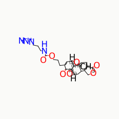 C[C@]12CCC3=C(COC3=O)C1C[C@@H]1O[C@@]13C(=O)C(CCCOC(=O)NCCCN=[N+]=[N-])=C[C@@H]1O[C@]123